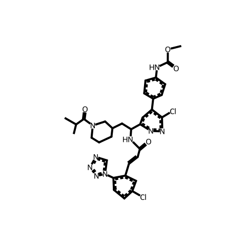 COC(=O)Nc1ccc(-c2cc(C(CC3CCCN(C(=O)C(C)C)C3)NC(=O)/C=C/c3cc(Cl)ccc3-n3cnnn3)nnc2Cl)cc1